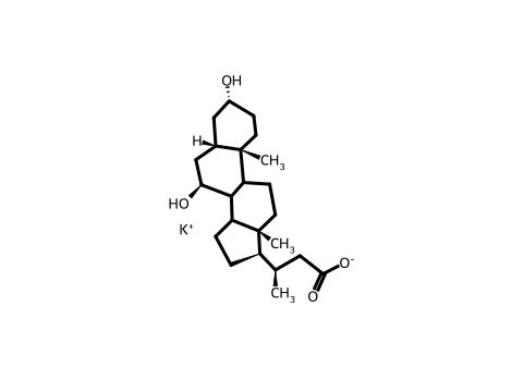 C[C@H](CC(=O)[O-])[C@H]1CCC2C3C(CC[C@@]21C)[C@@]1(C)CC[C@@H](O)C[C@H]1C[C@@H]3O.[K+]